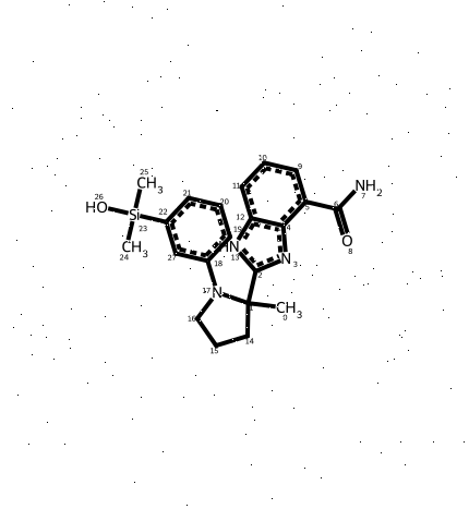 CC1(c2nc3c(C(N)=O)cccc3[nH]2)CCCN1c1cccc([Si](C)(C)O)c1